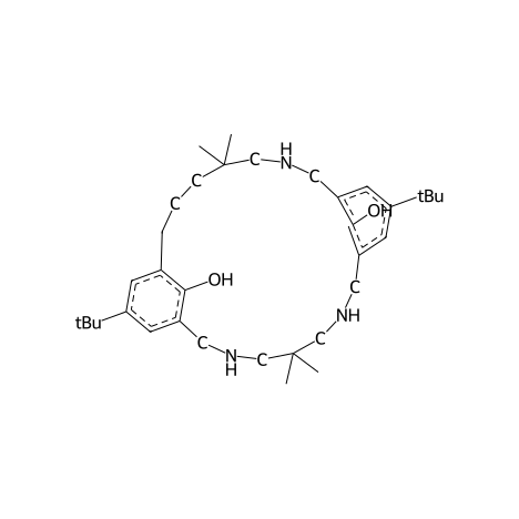 CC1(C)CCCc2cc(C(C)(C)C)cc(c2O)CNCC(C)(C)CNCc2cc(C(C)(C)C)cc(c2O)CNC1